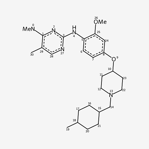 CNc1nc(Nc2ccc(OC3CCN(CC4CCC(C)CC4)CC3)cc2OC)ncc1C